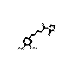 COc1ccc(C=CC=CC(=O)n2ccsc2=S)cc1OC